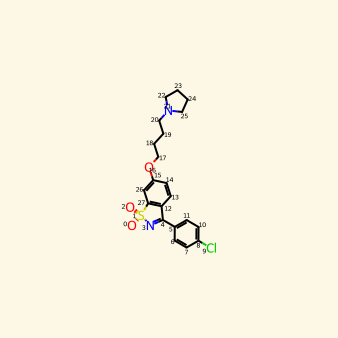 O=S1(=O)N=C(c2ccc(Cl)cc2)c2ccc(OCCCCN3CCCC3)cc21